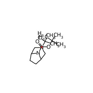 CC(C)(C)OC(=O)N1C2CCC1CN(C(C)(C)C)C2